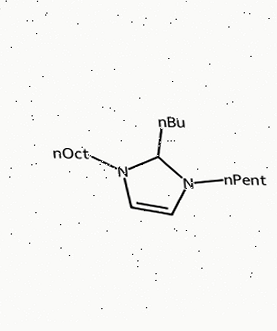 CCCCCCCCN1C=CN(CCCCC)C1CCCC